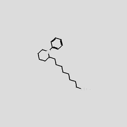 CCCCCCCCCCCCCCCCCCC1CCCCN1c1ccccc1